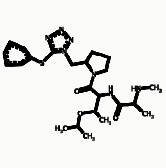 CNC(C)C(=O)NC(C(=O)N1CCCC1Cn1nnnc1Sc1ccccc1)C(C)OC(C)C